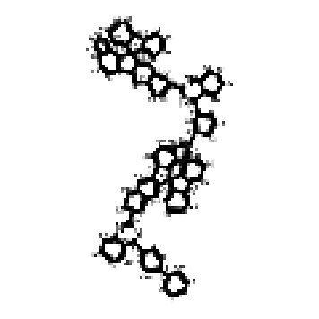 c1ccc(-c2ccc(-c3nc(-c4ccc5cc6c(cc5c4)C4(c5ccccc5-c5ccccc54)c4c-6ccc5cc(-c6cccc(-c7nc(-c8ccc9cc%10c(cc9c8)C8(c9ccccc9-c9ccccc98)c8c-%10ccc9ccccc89)nc8ccccc78)c6)ccc45)nc4ccccc34)cc2)cc1